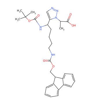 CC(C(=O)O)n1nncc1C(CCCCNC(=O)OCC1c2ccccc2-c2ccccc21)NC(=O)OC(C)(C)C